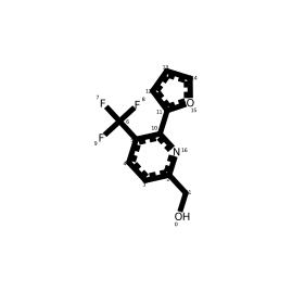 OCc1ccc(C(F)(F)F)c(-c2ccco2)n1